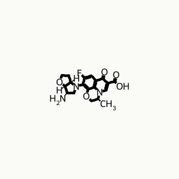 C[C@H]1COc2c(N3C[C@H](N)[C@H]4OCC[C@H]43)c(F)cc3c(=O)c(C(=O)O)cn1c23